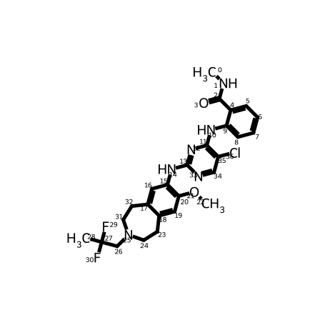 CNC(=O)c1ccccc1Nc1nc(Nc2cc3c(cc2OC)CCN(CC(C)(F)F)CC3)ncc1Cl